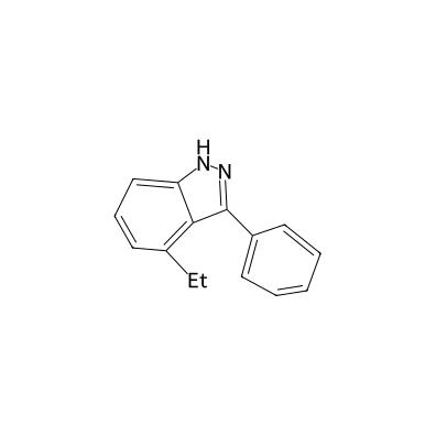 [CH2]Cc1cccc2[nH]nc(-c3ccccc3)c12